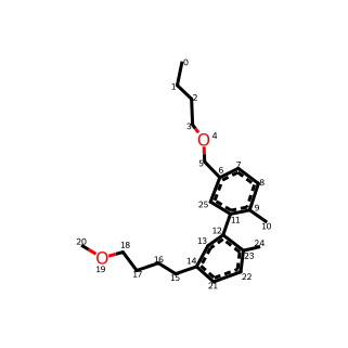 CCCCOCc1ccc(C)c(-c2cc(CCCCOC)ccc2C)c1